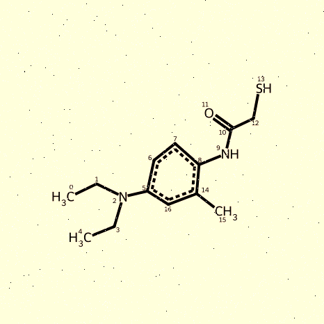 CCN(CC)c1ccc(NC(=O)CS)c(C)c1